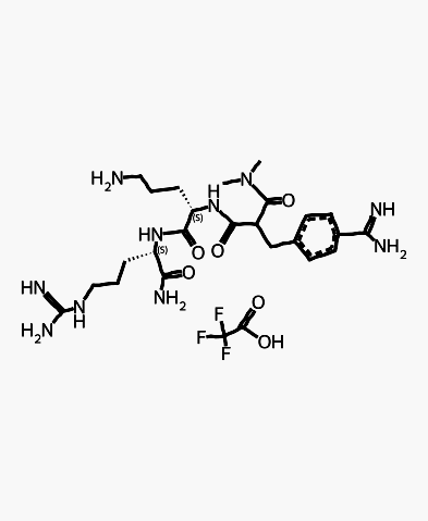 CN(C)C(=O)C(Cc1ccc(C(=N)N)cc1)C(=O)N[C@@H](CCCN)C(=O)N[C@@H](CCCNC(=N)N)C(N)=O.O=C(O)C(F)(F)F